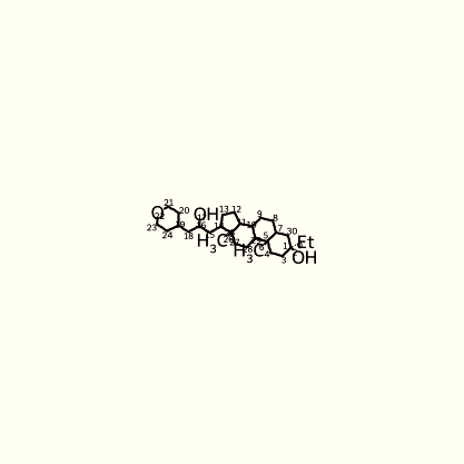 CC[C@]1(O)CCC2(C)C(CCC3C4CCC(CC(O)CC5CCOCC5)C4(C)CCC32)C1